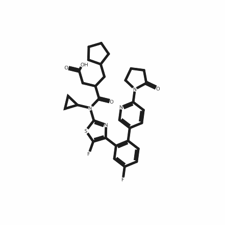 O=C(O)CC(CC1CCCC1)C(=O)N(c1nc(-c2cc(F)ccc2-c2ccc(N3CCCC3=O)nc2)c(F)s1)C1CC1